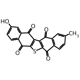 Cc1ccc2c(=O)c3sc4c(=O)c5ccc(O)cc5c(=O)c4c3c(=O)c2c1